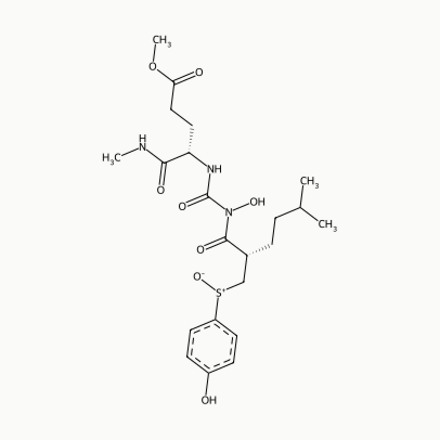 CNC(=O)[C@H](CCC(=O)OC)NC(=O)N(O)C(=O)[C@H](CCC(C)C)C[S+]([O-])c1ccc(O)cc1